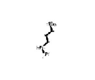 CC(C)NCCCC(C)(C)C